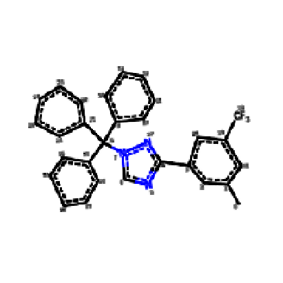 Cc1cc(-c2ncn(C(c3ccccc3)(c3ccccc3)c3ccccc3)n2)cc(C(F)(F)F)c1